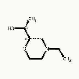 CCN1CCO[C@H]([C@H](C)O)C1